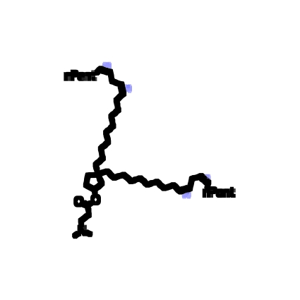 CCCCC/C=C\C/C=C\CCCCCCCCCC1(CCCCCCCCC/C=C\C/C=C\CCCCC)CCC(OC(=O)CCN(C)C)C1